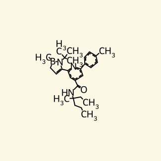 CCCC(C)(CC)NC(=O)c1cc(C2=CCB(C)N2C(C)(C)C)nc(-c2ccc(C)cc2)c1